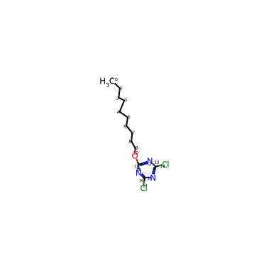 CCCCCCCCCCOc1nc(Cl)nc(Cl)n1